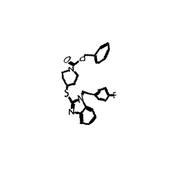 O=C(OCc1ccccc1)N1CCC(Sc2nc3ccccc3n2Cc2ccc(F)cc2)CC1